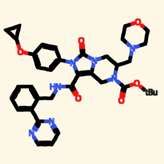 CC(C)(C)OC(=O)N1Cc2c(C(=O)NCc3ccccc3-c3ncccn3)n(-c3ccc(OC4CC4)cc3)c(=O)n2CC1CN1CCOCC1